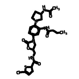 CCCC(=O)Nc1cc(N2CC(CNC(=O)C3CC=C(Cl)S3)OC2=O)ccc1N1CCC(NC(C)=O)C1